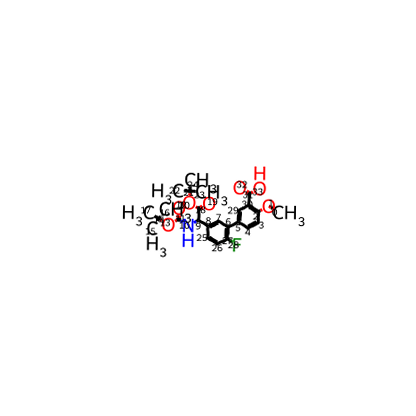 COc1ccc(-c2cc(C(NC(=O)OC(C)(C)C)C(=O)OC(C)(C)C)ccc2F)cc1C(=O)O